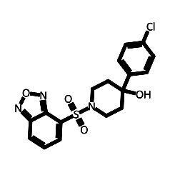 O=S(=O)(c1cccc2nonc12)N1CCC(O)(c2ccc(Cl)cc2)CC1